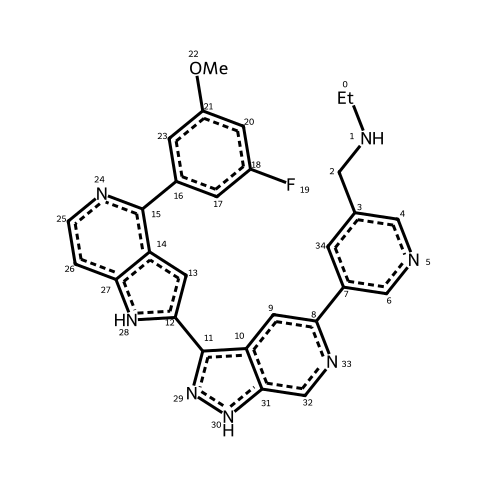 CCNCc1cncc(-c2cc3c(-c4cc5c(-c6cc(F)cc(OC)c6)nccc5[nH]4)n[nH]c3cn2)c1